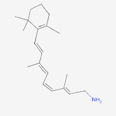 CC1=C(/C=C/C(C)=C/C=C\C(C)=C\CN)C(C)(C)CCC1